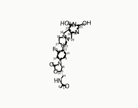 CC(=O)NC[C@H]1CN(c2ccc(N3C=NN(Cc4c(C)nc(O)nc4O)CC3)c(F)c2)C(=O)O1